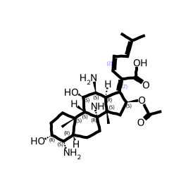 CC(=O)O[C@H]1C[C@@]2(C)[C@H](/C1=C(\C=C/C=C(C)C)C(=O)O)[C@H](N)[C@@H](O)[C@H]1[C@@]3(C)CC[C@@H](O)[C@@H](N)[C@@H]3CC[C@@]12N